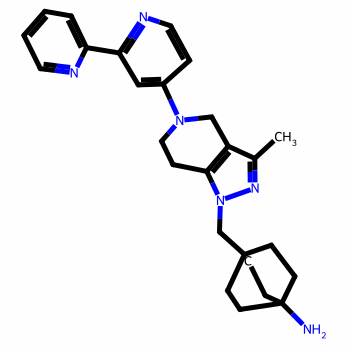 Cc1nn(CC23CCC(N)(CC2)CC3)c2c1CN(c1ccnc(-c3ccccn3)c1)CC2